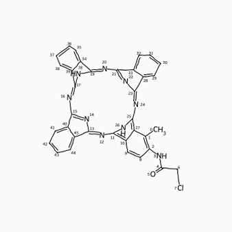 Cc1c(NC(=O)CCl)ccc2c3nc4nc(nc5[nH]c(nc6nc(nc([nH]3)c12)-c1ccccc1-6)c1ccccc51)-c1ccccc1-4